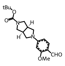 COc1cc(N2C[C@H]3CN(C(=O)OC(C)(C)C)C[C@H]3C2)ccc1C=O